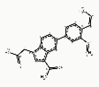 C=Nc1cc(-c2ccc3c(c2)c(C(N)=O)cn3CC(=O)O)ccc1/C=C\C